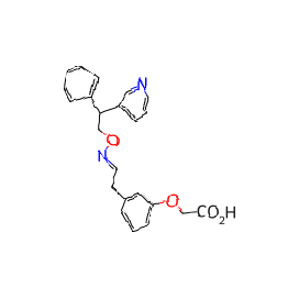 O=C(O)COc1cccc(C/C=N/OCC(c2ccccc2)c2cccnc2)c1